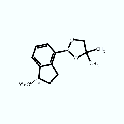 CO[C@H]1CCc2c(B3OCC(C)(C)O3)cccc21